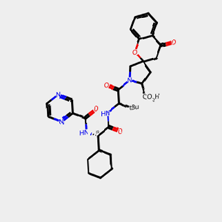 CC(C)(C)C(NC(=O)[C@@H](NC(=O)c1cnccn1)C1CCCCC1)C(=O)N1CC2(CC(=O)c3ccccc3O2)CC1C(=O)O